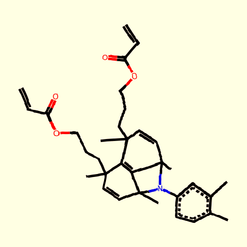 C=CC(=O)OCCCC1(C)C=CC2(C)C3=C1C(C)(CCCOC(=O)C=C)C=CC3(C)N2c1ccc(C)c(C)c1